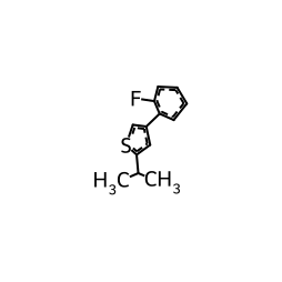 CC(C)c1cc(-c2ccccc2F)cs1